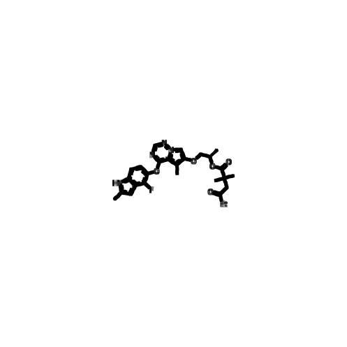 CCC(=O)CC(C)(C)C(=O)O[C@H](C)COc1cn2ncnc(Oc3ccc4[nH]c(C)cc4c3F)c2c1C